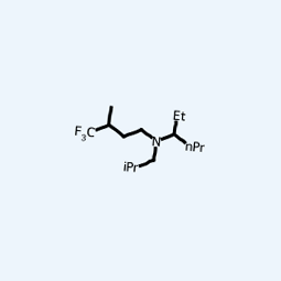 CCCC(CC)N(CCC(C)C(F)(F)F)CC(C)C